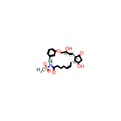 CS(=O)(=O)NC(=O)CCC/C=C\C[C@H]1[C@@H](O)CC(=O)[C@@H]1/C=C/[C@@H](O)COc1cccc(Cl)c1